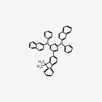 CC1(C)c2ccccc2-c2ccc(-c3cc(N(c4ccccc4)c4ccc5ccccc5c4)cc(N(c4ccccc4)c4ccc5ccccc5c4)c3)cc21